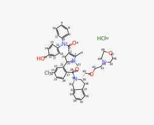 CC1=C(C(=O)N(c2ccccc2)c2ccc(O)cc2)CC(c2cc(Cl)ccc2C(=O)N2Cc3ccccc3C[C@H]2COCCN2CCOCC2)N1C.Cl